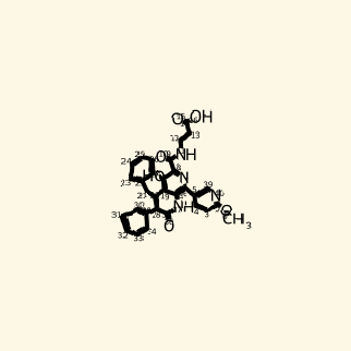 COc1ccc(-c2nc(C(=O)NCCC(=O)O)c(O)c3c(Cc4ccccc4)c(-c4ccccc4)c(=O)[nH]c23)cn1